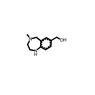 CN1CCNc2ccc(CO)cc2C1